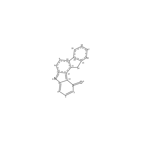 O=C1C=CC=C2N=c3ccc4c(c3=C12)Cc1ccccc1-4